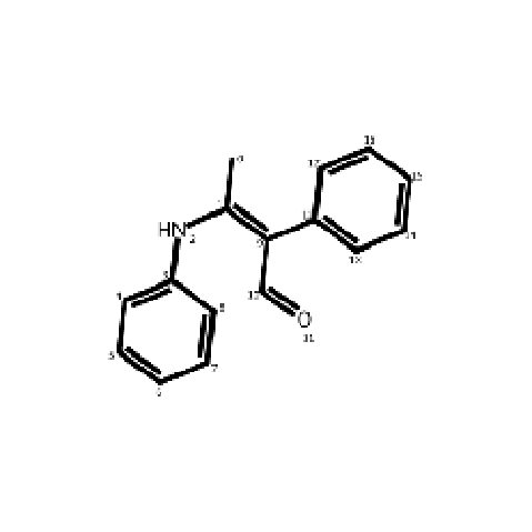 CC(Nc1ccccc1)=C(C=O)c1ccccc1